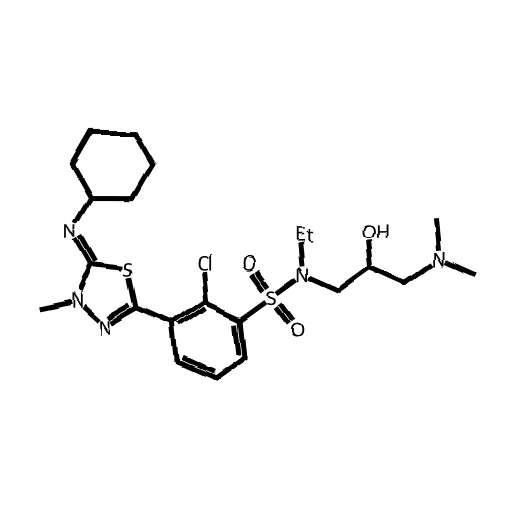 CCN(CC(O)CN(C)C)S(=O)(=O)c1cccc(-c2nn(C)c(=NC3CCCCC3)s2)c1Cl